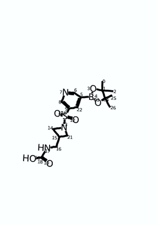 CC1(C)OB(c2cncc(S(=O)(=O)N3CC(CNC(=O)O)C3)c2)OC1(C)C